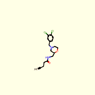 C#CCCC(=O)NCC1CN(Cc2ccc(Cl)c(Cl)c2)CCO1